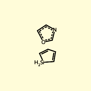 C1=C[SiH2]C=C1.c1cocn1